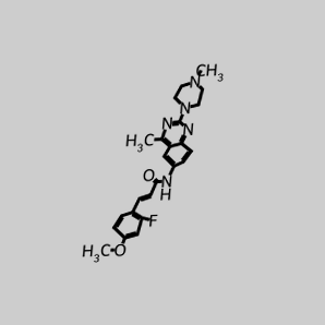 COc1ccc(C=CC(=O)Nc2ccc3nc(N4CCN(C)CC4)nc(C)c3c2)c(F)c1